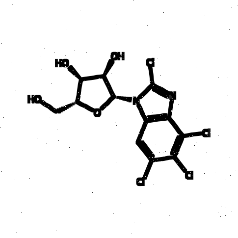 OC[C@H]1O[C@@H](n2c(Cl)nc3c(Cl)c(Cl)c(Cl)cc32)[C@H](O)[C@@H]1O